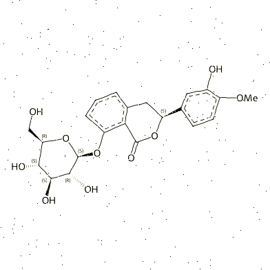 COc1ccc([C@@H]2Cc3cccc(O[C@@H]4O[C@H](CO)[C@@H](O)[C@H](O)[C@H]4O)c3C(=O)O2)cc1O